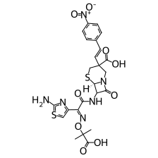 CC(C)(ON=C(C(=O)NC1C(=O)N2CC(C=Cc3ccc([N+](=O)[O-])cc3)(C(=O)O)CS[C@H]12)c1csc(N)n1)C(=O)O